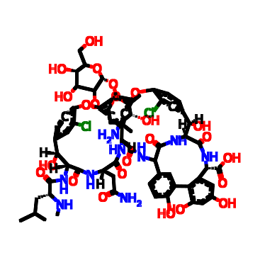 CN[C@H](CC(C)C)C(=O)N[C@H]1C(=O)N[C@@H](CC(N)=O)C(=O)N[C@H]2C(=O)NC3C(=O)N[C@H](C(=O)N[C@H](C(=O)O)c4cc(O)cc(O)c4-c4cc3ccc4O)[C@H](O)c3ccc(c(Cl)c3)Oc3cc2cc(c3O[C@H]2OC(CO)[C@H](O)C(O)C2O[C@H]2CC(C)(N)[C@@H](O)C(C)O2)Oc2ccc(cc2Cl)[C@H]1O